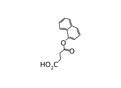 O=C(O)CCC(=O)Oc1cccc2ccccc12